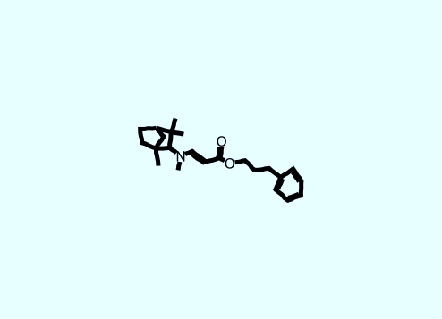 CN(/C=C/C(=O)OCCCc1ccccc1)C1C2(C)CCC(C2)C1(C)C